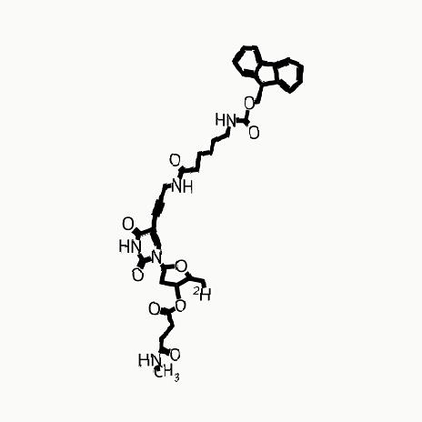 [2H]CC1OC(n2cc(C#CCNC(=O)CCCCCNC(=O)OCC3c4ccccc4-c4ccccc43)c(=O)[nH]c2=O)CC1OC(=O)CCC(=O)NC